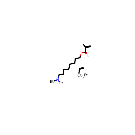 C=C(C)C(=O)OCCCCCCCCN(CC)CC.C=CC(=O)OCC